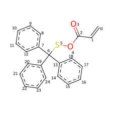 C=CC(=O)OSC(c1ccccc1)(c1ccccc1)c1ccccc1